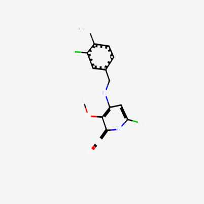 CCOC1=C(NCc2ccc(OC)c(Cl)c2)C=C(Cl)NC1=C=O